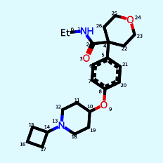 CCNC(=O)C1(c2ccc(OC3CCN(C4CCC4)CC3)cc2)CCOCC1